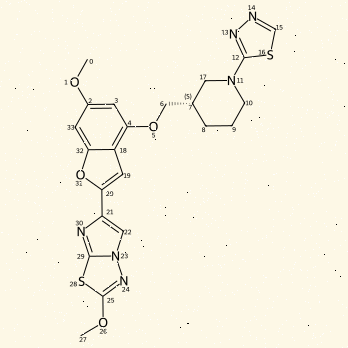 COc1cc(OC[C@H]2CCCN(c3nncs3)C2)c2cc(-c3cn4nc(OC)sc4n3)oc2c1